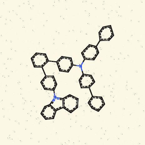 c1ccc(-c2ccc(N(c3ccc(-c4ccccc4)cc3)c3ccc(-c4ccccc4-c4ccc(-n5c6ccccc6c6ccccc65)cc4)cc3)cc2)cc1